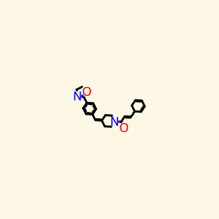 O=C(C=CC1C=CC=CC1)N1CCC(=Cc2ccc(C3=NCCO3)cc2)CC1